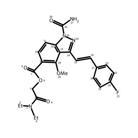 CCN(CC)C(=O)COC(=O)c1ccc2c(c(C=Cc3ccc(F)cc3)nn2C(N)=O)c1OC